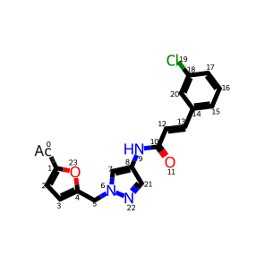 CC(=O)c1ccc(Cn2cc(NC(=O)C=Cc3cccc(Cl)c3)cn2)o1